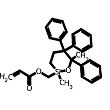 C=CC(=O)OC[Si]1(C)CCC(c2ccccc2)(c2ccccc2)C(C)(c2ccccc2)O1